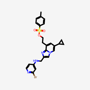 Cc1ccc(S(=O)(=O)OCCc2cc(C3CC3)cn3cc(CNc4ccnc(Br)c4)nc23)cc1